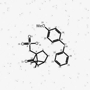 CC1(C)C2CCC1(CS(=O)(=O)[O-])C(=O)C2.COc1ccc([I+]c2ccccc2)cc1